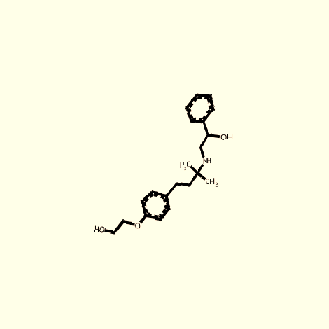 CC(C)(CCc1ccc(OCCO)cc1)NCC(O)c1ccccc1